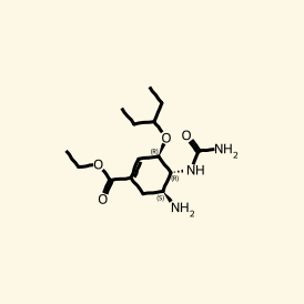 CCOC(=O)C1=C[C@@H](OC(CC)CC)[C@H](NC(N)=O)[C@@H](N)C1